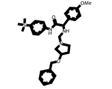 COc1ccc(C(NCN2CCC(OCc3ccccc3)C2)C(=O)Nc2ccc([Si](C)(C)C)cc2)cc1